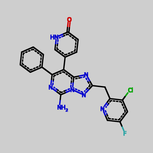 Nc1nc(-c2ccccc2)c(-c2ccc(=O)[nH]c2)c2nc(Cc3ncc(F)cc3Cl)nn12